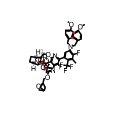 COc1ccc(CN(Cc2ccc(OC)cc2)c2cc(-c3nc4c5c(nc(OCC67CC(CO6)C7)nc5c3F)N3C[C@H]5CC[C@@H]([C@H]3[C@H](C)O4)N5C(=O)OC(C)(C)C)c(C(F)(F)F)c(C)c2F)cc1